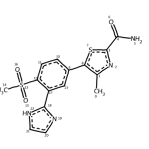 Cc1nc(C(N)=O)sc1-c1ccc(S(C)(=O)=O)c(-c2ncc[nH]2)c1